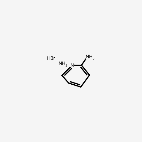 Br.N.Nc1ccccn1